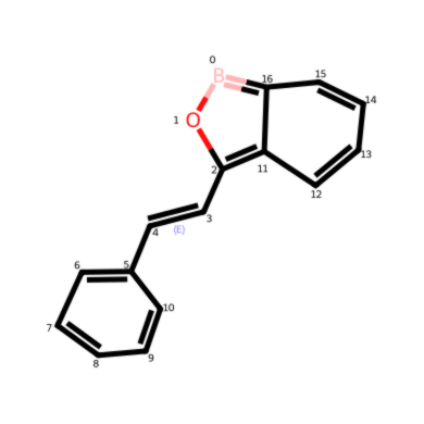 b1oc(/C=C/c2ccccc2)c2ccccc12